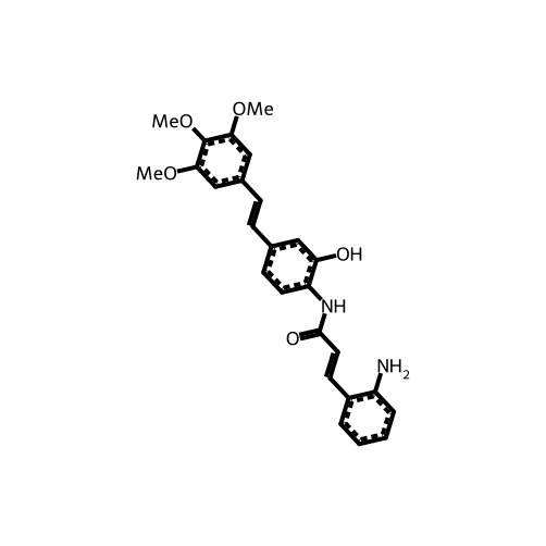 COc1cc(C=Cc2ccc(NC(=O)/C=C/c3ccccc3N)c(O)c2)cc(OC)c1OC